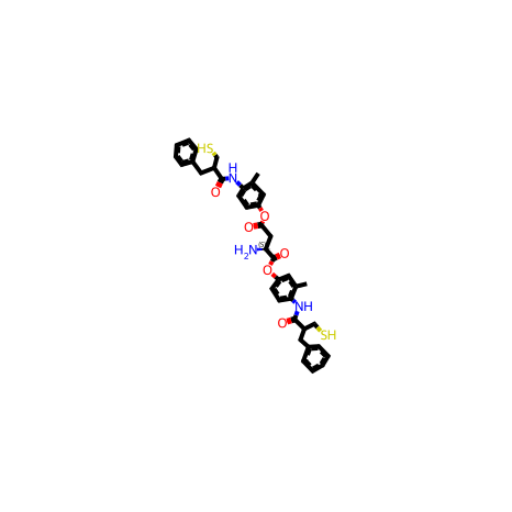 Cc1cc(OC(=O)C[C@H](N)C(=O)Oc2ccc(NC(=O)C(CS)Cc3ccccc3)c(C)c2)ccc1NC(=O)C(CS)Cc1ccccc1